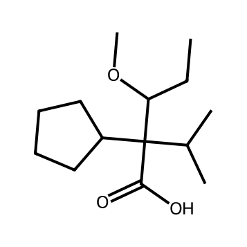 CCC(OC)C(C(=O)O)(C(C)C)C1CCCC1